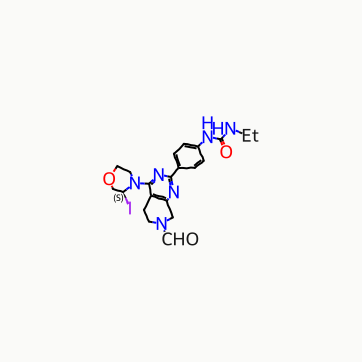 CCNC(=O)Nc1ccc(-c2nc3c(c(N4CCOC[C@@H]4I)n2)CCN(C=O)C3)cc1